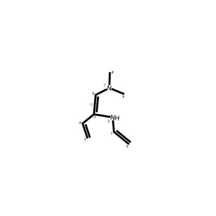 C=CN/C(C=C)=C\N(C)C